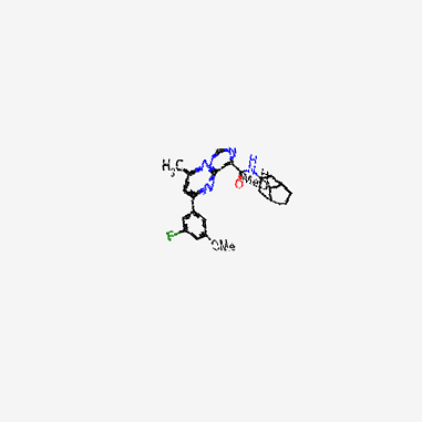 COc1cc(F)cc(-c2cc(C)n3cnc(C(=O)N[C@H]4CC5CCC(C4)[C@@H]5OC)c3n2)c1